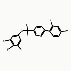 Cc1ccc(-c2ccc(C(F)(F)Oc3cc(F)c(F)c(F)c3)cc2)c(F)c1